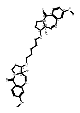 COc1ccc2c(c1)N=C[C@H]1C(OCCCCCOC3CCN4C(=O)c5ccc(OC)cc5N=C[C@@H]34)CCN1C2=O